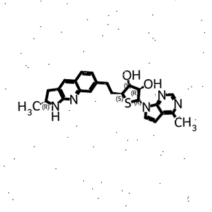 Cc1ncnc2c1ccn2[C@@H]1S[C@@H](CCc2ccc3cc4c(nc3c2)N[C@H](C)C4)[C@@H](O)[C@H]1O